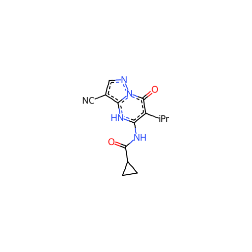 CC(C)c1c(NC(=O)C2CC2)[nH]c2c(C#N)cnn2c1=O